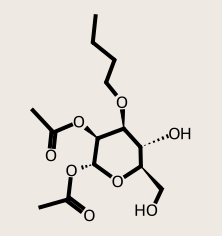 CCCCO[C@H]1[C@H](O)[C@@H](CO)O[C@H](OC(C)=O)[C@H]1OC(C)=O